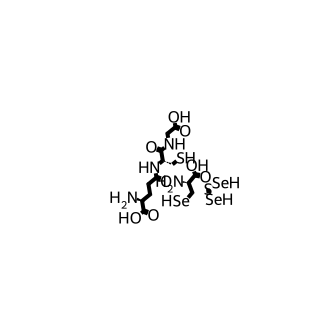 N[C@@H](CCC(=O)N[C@@H](CS)C(=O)NCC(=O)O)C(=O)O.N[C@@H](C[SeH])C(=O)O.[SeH]S[SeH]